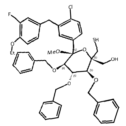 CCOc1ccc(Cc2cc([C@]3(OC)O[C@](CO)(CS)[C@@H](OCc4ccccc4)[C@H](OCc4ccccc4)[C@H]3OCc3ccccc3)ccc2Cl)cc1F